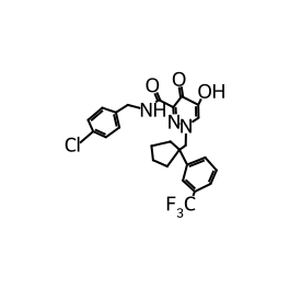 O=C(NCc1ccc(Cl)cc1)c1nn(CC2(c3cccc(C(F)(F)F)c3)CCCC2)cc(O)c1=O